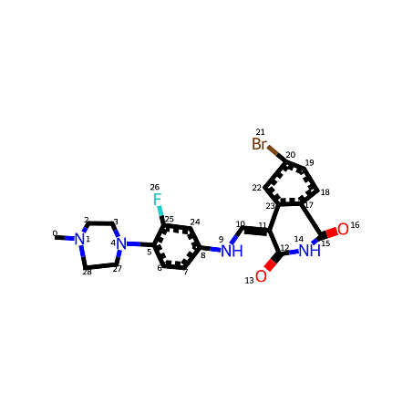 CN1CCN(c2ccc(NC=C3C(=O)NC(=O)c4ccc(Br)cc43)cc2F)CC1